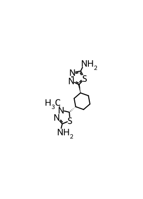 CN1N=C(N)SC1[C@H]1CCC[C@H](c2nnc(N)s2)C1